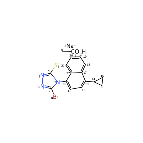 CC(=O)O.[Na+].[S-]c1nnc(Br)n1-c1ccc(C2CC2)c2ccccc12